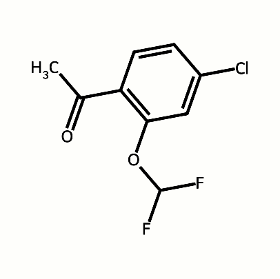 CC(=O)c1ccc(Cl)cc1OC(F)F